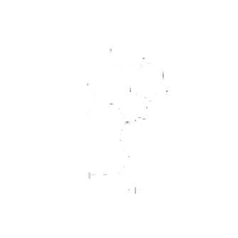 CSc1ncnn2cc(OCC(C)O)c(C(C)C)c12